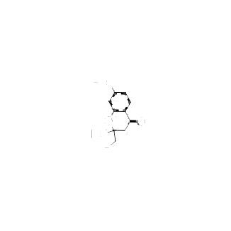 CC1(CF)CC(=O)c2ccc(C(F)(F)F)cc2O1